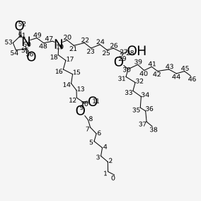 CCCCCCCCCOC(=O)CCCCCCCN(CCCCCCCC(O)OC(CCCCCCCC)CCCCCCCC)CCCN1C(=O)CCC1=O